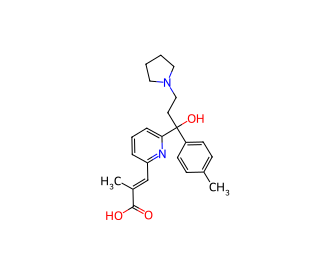 C/C(=C\c1cccc(C(O)(CCN2CCCC2)c2ccc(C)cc2)n1)C(=O)O